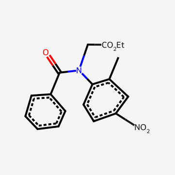 CCOC(=O)CN(C(=O)c1ccccc1)c1ccc([N+](=O)[O-])cc1C